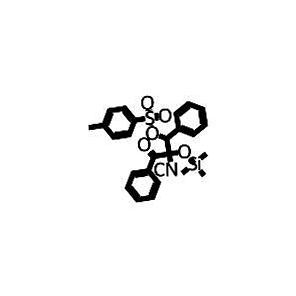 Cc1ccc(S(=O)(=O)OC(c2ccccc2)C(C#N)(O[Si](C)(C)C)C(=O)c2ccccc2)cc1